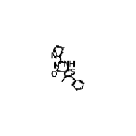 Cc1c(-c2ccccc2)sc2[nH]c(-c3ccccn3)nc(=O)c12